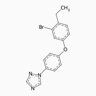 CCc1ccc(Oc2ccc(-n3cncn3)cc2)cc1Br